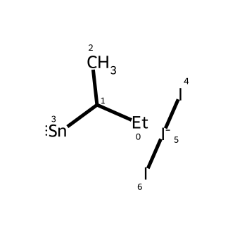 CC[CH](C)[Sn].I[I-]I